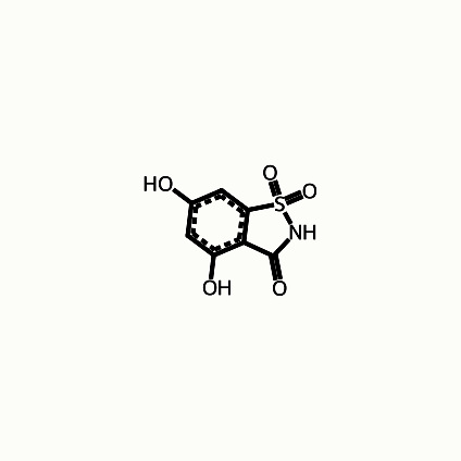 O=C1NS(=O)(=O)c2cc(O)cc(O)c21